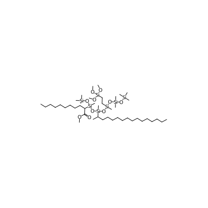 CCCCCCCCCCCCCCC(C)[Si](C)(O[Si](C)(CC[Si](OC)(OC)OC)O[Si](C)(C)O[Si](C)(C)C)O[Si](C)(O[Si](C)(C)C)C(CCCCCCCCC)C(=O)OC